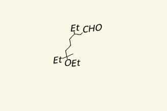 CCOC(C)(CC)CCCC(CC)CC=O